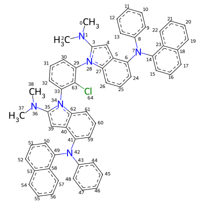 CN(C)c1cc2c(N(c3ccccc3)c3cccc4ccccc34)cccc2n1-c1cccc(-n2c(N(C)C)cc3c(N(c4ccccc4)c4cccc5ccccc45)cccc32)c1Cl